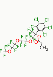 C=CC(=O)OC(c1c(Cl)c(Cl)c(Cl)c(Cl)c1Cl)(C(F)(F)F)C(F)(F)OC(F)(F)C(F)(F)OC(F)(F)C(F)(F)OC(F)(F)F